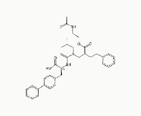 CC(=O)NCCOC(=O)C(CCc1ccccc1)CN(CC(C)C)C(=O)N[C@@H](Cc1ccc(-c2ccccc2)cc1)C(=O)O